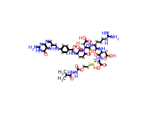 CC(C)C(=O)NNC(=O)OCCSSC[C@H](NC(=O)[C@H](CC(=O)O)NC(=O)[C@H](CCCNC(=N)N)NC(=O)[C@H](CC(=O)O)NC(=O)CC[C@H](NC(=O)c1ccc(NCc2cnc3nc(N)[nH]c(=O)c3n2)cc1)C(=O)O)C(=O)O